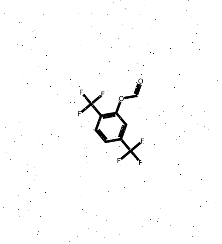 O=COc1cc(C(F)(F)F)ccc1C(F)(F)F